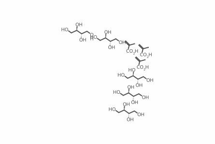 C=C(C)C(=O)O.C=C(C)C(=O)O.C=C(C)C(=O)O.OC[C@@H](O)[C@@H](O)CO.OC[C@@H](O)[C@@H](O)CO.OC[C@@H](O)[C@@H](O)CO.OC[C@@H](O)[C@@H](O)CO.OC[C@@H](O)[C@@H](O)CO